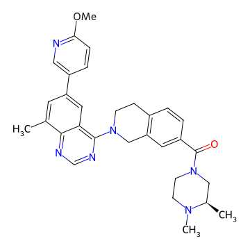 COc1ccc(-c2cc(C)c3ncnc(N4CCc5ccc(C(=O)N6CCN(C)[C@H](C)C6)cc5C4)c3c2)cn1